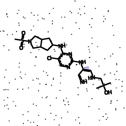 CC(C)(O)CN/C=C(\C=N)Nc1ncc(Cl)c(NC2CC3CN(S(C)(=O)=O)CC3C2)n1